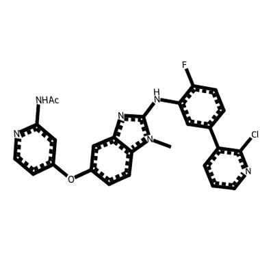 CC(=O)Nc1cc(Oc2ccc3c(c2)nc(Nc2cc(-c4cccnc4Cl)ccc2F)n3C)ccn1